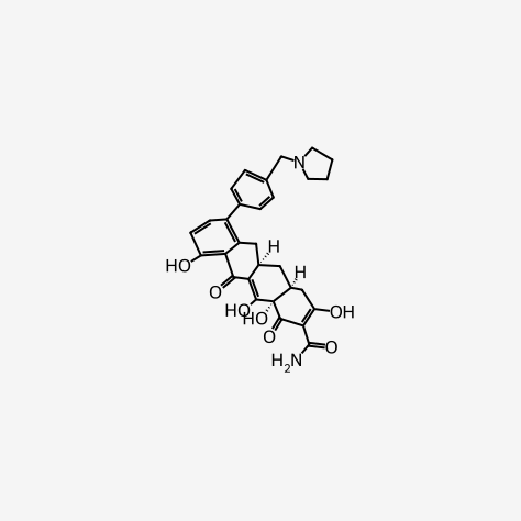 NC(=O)C1=C(O)C[C@@H]2C[C@@H]3Cc4c(-c5ccc(CN6CCCC6)cc5)ccc(O)c4C(=O)C3=C(O)[C@]2(O)C1=O